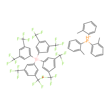 Cc1ccccc1[PH+](c1ccccc1C)c1ccccc1C.FC(F)(F)c1cc([B-](c2cc(C(F)(F)F)cc(C(F)(F)F)c2)(c2cc(C(F)(F)F)cc(C(F)(F)F)c2)c2cc(C(F)(F)F)cc(C(F)(F)F)c2)cc(C(F)(F)F)c1